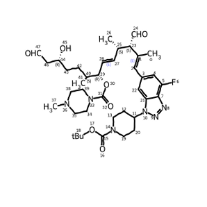 C/C(=C\c1cc(F)c2nnn(C3CCN(C(=O)OC(C)(C)C)CC3)c2c1)[C@@H](C=O)[C@@H](C)/C=C/[C@H](OC(=O)N1CCN(C)CC1)[C@@H](C)CC[C@@H](O)CC=O